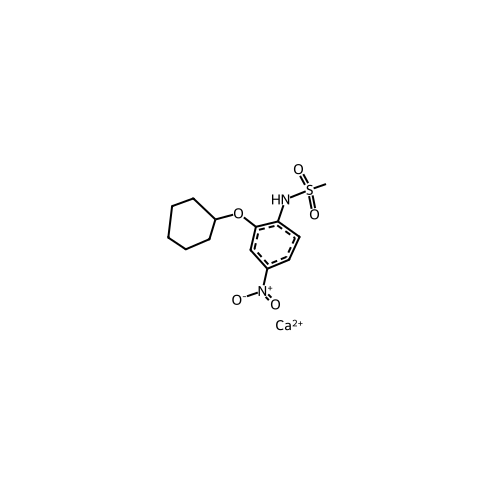 CS(=O)(=O)Nc1ccc([N+](=O)[O-])cc1OC1CCCCC1.[Ca+2]